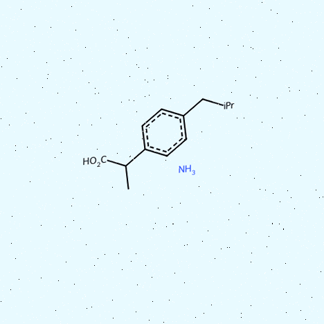 CC(C)Cc1ccc(C(C)C(=O)O)cc1.N